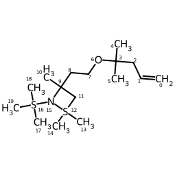 C=CCC(C)(C)OCCC1(C)CS(C)(C)N1S(C)(C)C